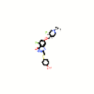 CN1CC[C@@H](COc2cc(F)c3c(=O)[nH]c(CSC4CCC(O)CC4)nc3c2)[C@H](F)C1